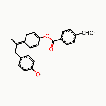 CC(Cc1ccc([O])cc1)=C1C=CC(OC(=O)c2ccc([C]=O)cc2)=CC1